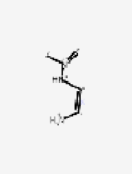 C=[N+](C)N/C=C\N